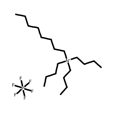 CCCCCCCC[N+](CCCC)(CCCC)CCCC.F[P-](F)(F)(F)(F)F